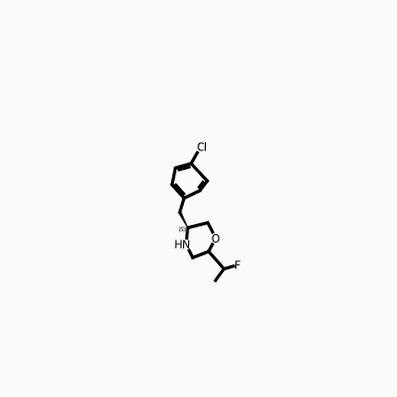 CC(F)C1CN[C@@H](Cc2ccc(Cl)cc2)CO1